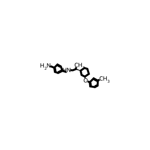 Cc1cccc(O[C@@H]2CCC[C@H](C(C)CNCc3ccc(N)cc3)C2)c1